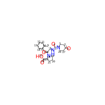 O=C1CCN(C(=O)N[C@@H](Cc2ccccc2)C(=O)N2CCC[C@H]2C(=O)O)CC1